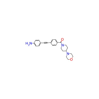 Nc1ccc(C#Cc2ccc(C(=O)N3CCC(N4CCOCC4)CC3)cc2)cc1